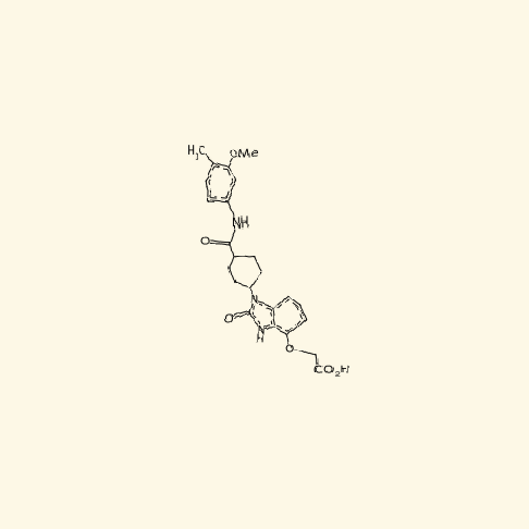 COc1cc(NC(=O)C2CCC(n3c(=O)[nH]c4c(OCC(=O)O)cccc43)CC2)ccc1C